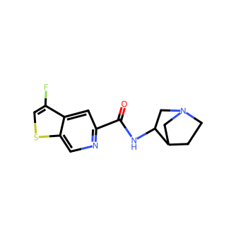 O=C(NC1CN2CCC1C2)c1cc2c(F)csc2cn1